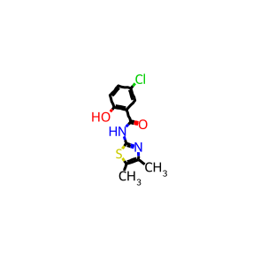 Cc1nc(NC(=O)c2cc(Cl)ccc2O)sc1C